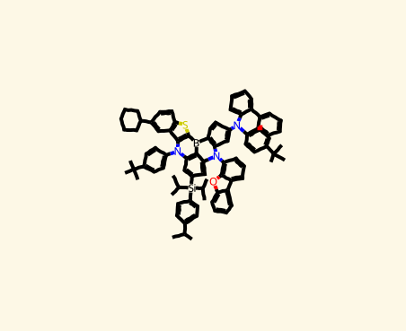 CC(C)c1ccc([Si](c2cc3c4c(c2)N(c2cccc5c2oc2ccccc25)c2cc(N(c5ccc(C(C)(C)C)cc5)c5ccccc5-c5ccccc5)ccc2B4c2sc4ccc(C5CCCCC5)cc4c2N3c2ccc(C(C)(C)C)cc2)(C(C)C)C(C)C)cc1